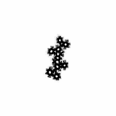 CC1(C)c2cc3c(cc2-n2c4ccccc4c4cc(-n5c6ccccc6c6ccccc65)cc1c42)C(C)(C)c1cc(-n2c4ccccc4c4ccccc42)cc2c4ccccc4n-3c12